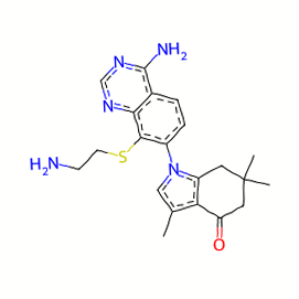 Cc1cn(-c2ccc3c(N)ncnc3c2SCCN)c2c1C(=O)CC(C)(C)C2